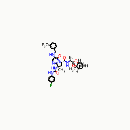 CC[C@H](NC(=O)[C@@H]1C[C@@](C)(NC(=O)Nc2ccc(F)cc2)c2ncc(NCc3cccc(C(F)(F)F)c3)c(=O)n21)B1O[C@@H]2C[C@@H]3C[C@@H](C3(C)C)[C@]2(C)O1